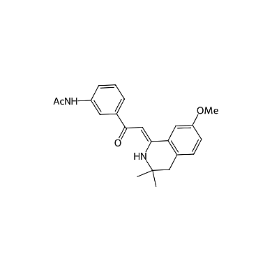 COc1ccc2c(c1)C(=CC(=O)c1cccc(NC(C)=O)c1)NC(C)(C)C2